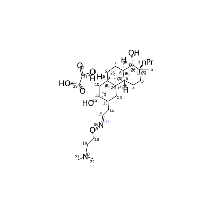 CCC[C@@]1(C)CC[C@H]2[C@@H](CC[C@@H]3C[C@@H](O)C(C/C=N/OCCN(C)C)C[C@@]32C)[C@@H]1O.O=C(O)C(=O)O